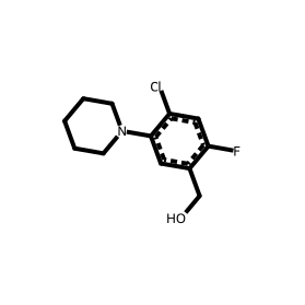 OCc1cc(N2CCCCC2)c(Cl)cc1F